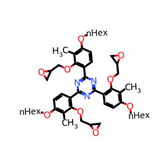 CCCCCCOc1ccc(-c2nc(-c3ccc(OCCCCCC)c(C)c3OCC3CO3)nc(-c3ccc(OCCCCCC)c(C)c3OCC3CO3)n2)c(OCC2CO2)c1C